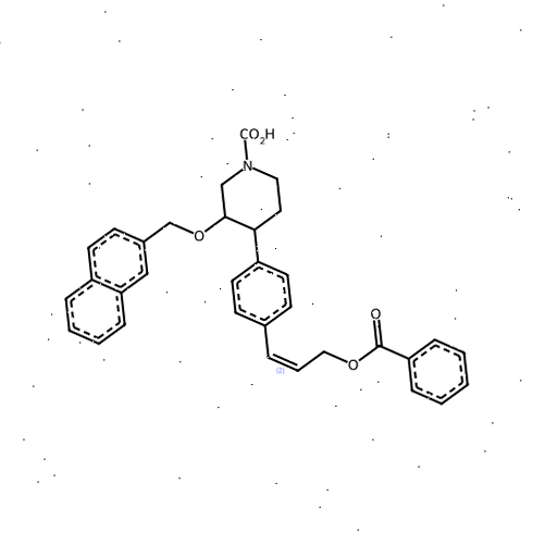 O=C(OC/C=C\c1ccc(C2CCN(C(=O)O)CC2OCc2ccc3ccccc3c2)cc1)c1ccccc1